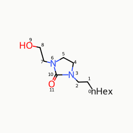 CCCCCCCCN1CCN(CCO)C1=O